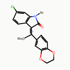 CO/C(=C1/C(=O)N(C(C)=O)c2cc(Cl)ccc21)c1ccc2c(c1)OCCO2